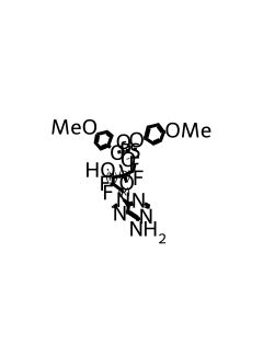 COc1ccc(OSP(=O)(OC[C@@]2(C(F)F)O[C@@H](n3cnc4c(N)ncnc43)C(F)(F)[C@@H]2O)Oc2ccc(OC)cc2)cc1